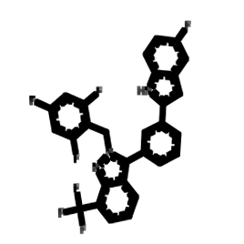 Fc1cc(F)c(Cn2nc3c(C(F)(F)F)cccc3c2-c2cccc(-c3cc4cc(F)ccc4[nH]3)c2)c(F)c1